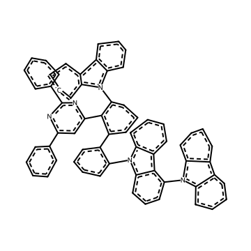 c1ccc(-c2cc(-c3c(-c4ccccc4-n4c5ccccc5c5c(-n6c7ccccc7c7ccccc76)cccc54)cccc3-n3c4ccccc4c4ccccc43)nc(-c3ccccc3)n2)cc1